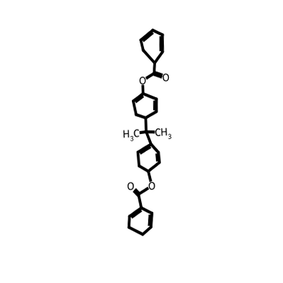 CC(C)(C1=CCC(OC(=O)C2=CCCC=C2)C=C1)C1C=CC(OC(=O)C2C=CC=CC2)=CC1